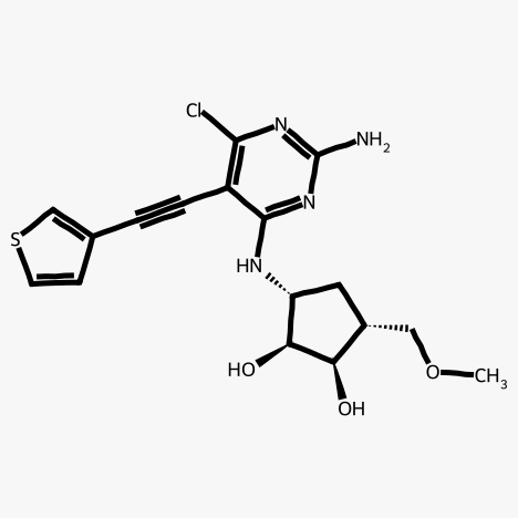 COC[C@H]1C[C@@H](Nc2nc(N)nc(Cl)c2C#Cc2ccsc2)[C@H](O)[C@@H]1O